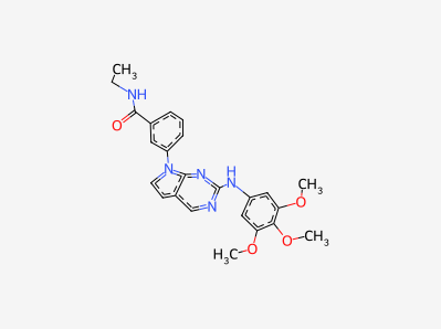 CCNC(=O)c1cccc(-n2ccc3cnc(Nc4cc(OC)c(OC)c(OC)c4)nc32)c1